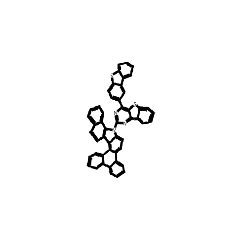 c1ccc2c(c1)ccc1c3c4c5ccccc5c5ccccc5c4ccc3n(-c3nc(-c4ccc5sc6ccccc6c5c4)c4sc5ccccc5c4n3)c21